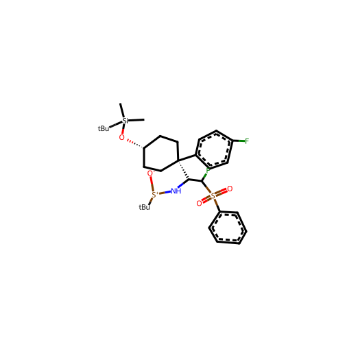 CC(C)(C)[S+]([O-])NC(C(F)S(=O)(=O)c1ccccc1)[C@]1(c2ccc(F)cc2)CC[C@H](O[Si](C)(C)C(C)(C)C)CC1